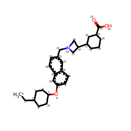 CCC1CCC(Oc2ccc3cc(CN4CC(C5CCCC(C(=O)O)C5)C4)ccc3c2)CC1